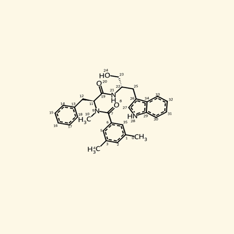 Cc1cc(C)cc(C(=O)N(C)[C@@H](Cc2ccccc2)C(=O)N[C@H](CO)Cc2c[nH]c3ccccc23)c1